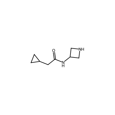 O=C(CC1CC1)NC1CNC1